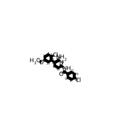 COc1ccc(Cl)c(-c2ccc(NC(=O)c3ccc(Cl)cc3)nc2N)c1